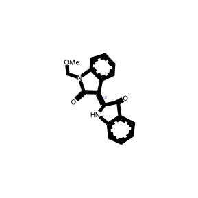 COCN1C(=O)/C(=C2\Nc3ccccc3C2=O)c2ccccc21